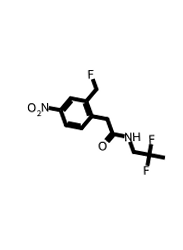 CC(F)(F)CNC(=O)Cc1ccc([N+](=O)[O-])cc1CF